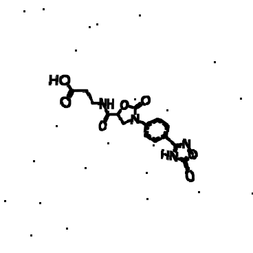 O=C(O)CCNC(=O)C1CN(c2ccc(-c3noc(=O)[nH]3)cc2)C(=O)O1